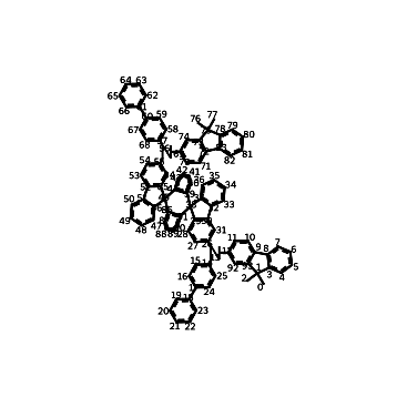 CC1(C)c2ccccc2-c2ccc(N(c3ccc(-c4ccccc4)cc3)c3ccc4c(c3)-c3ccccc3C43c4ccccc4C4(c5ccccc5-c5ccc(N(c6ccc(-c7ccccc7)cc6)c6ccc7c(c6)C(C)(C)c6ccccc6-7)cc54)c4ccccc43)cc21